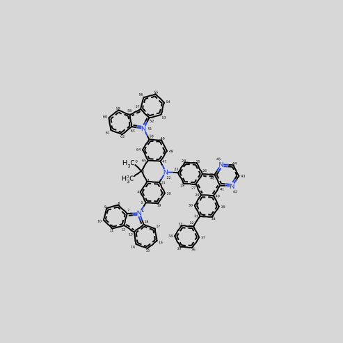 CC1(C)c2cc(-n3c4ccccc4c4ccccc43)ccc2N(c2ccc3c(c2)c2cc(-c4ccccc4)ccc2c2nccnc32)c2ccc(-n3c4ccccc4c4ccccc43)cc21